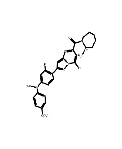 CCOC(=O)c1ccc(N(C)c2ccc(-c3cc4nc(C(=O)N5CCCCC[C@H]5C)cc(CC)n4n3)c(F)c2)nc1